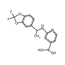 CC(Nc1cc(B(O)O)ccn1)c1ccc2c(c1)OC(F)(F)O2